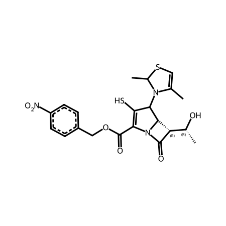 CC1=CSC(C)N1C1C(S)=C(C(=O)OCc2ccc([N+](=O)[O-])cc2)N2C(=O)[C@@H]([C@@H](C)O)C12